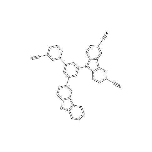 N#Cc1cccc(-c2cc(-c3ccc4oc5ccccc5c4c3)cc(-n3c4ccc(C#N)cc4c4cc(C#N)ccc43)c2)c1